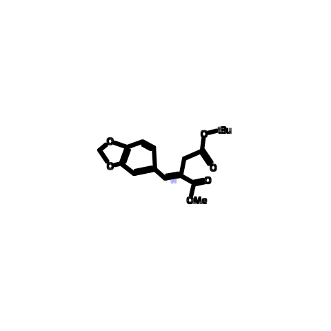 COC(=O)/C(=C/c1ccc2c(c1)OCO2)CC(=O)OC(C)(C)C